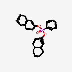 O=P(Oc1ccc2c(c1)CCCC2)(Oc1ccc2c(c1)CCCC2)c1ccccc1